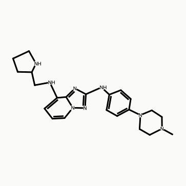 CN1CCN(c2ccc(Nc3nc4c(NCC5CCCN5)cccn4n3)cc2)CC1